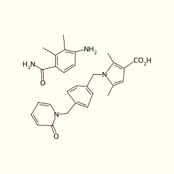 Cc1c(N)ccc(C(N)=O)c1C.Cc1cc(C(=O)O)c(C)n1Cc1ccc(Cn2ccccc2=O)cc1